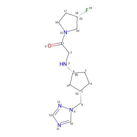 O=C(CN[C@@H]1CC[C@H](Cn2cncn2)C1)N1CC[C@H](F)C1